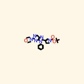 CC(C)(C)OC(=O)N1C=C(c2nc3cnc(N4CCOCC4)nc3n2-c2ccccc2)CC1